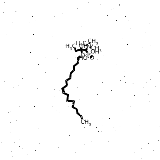 CCCCCCCC/C=C\CCCCCCCCOC(O)(CC)C([N+](C)(C)C)P(=O)(O)O